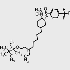 CCN(CCCCCC1CCC([N+](C)([O-])S(=O)(=O)c2ccc(C(F)(F)F)cc2)CC1)CCO[Si](C)(C)C(C)(C)C